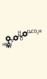 O=C(O)COc1ccc(C(=O)Nc2ccc(Sc3ccccc3-c3nnn[nH]3)cc2)cc1